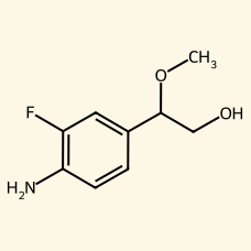 COC(CO)c1ccc(N)c(F)c1